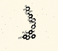 COc1cc(N2CCC(CN3CCN4c5ccc(C(=O)N[C@H]6CCC(=O)NC6=O)nc5OC[C@H]4C3)CC2)c(F)cc1[C@@H]1c2ccc(O)cc2CC[C@@H]1c1ccccc1